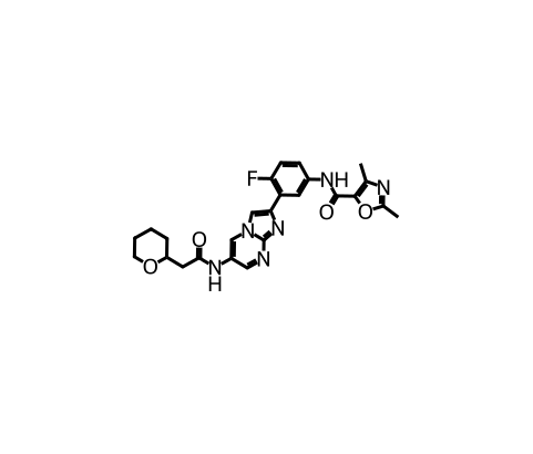 Cc1nc(C)c(C(=O)Nc2ccc(F)c(-c3cn4cc(NC(=O)CC5CCCCO5)cnc4n3)c2)o1